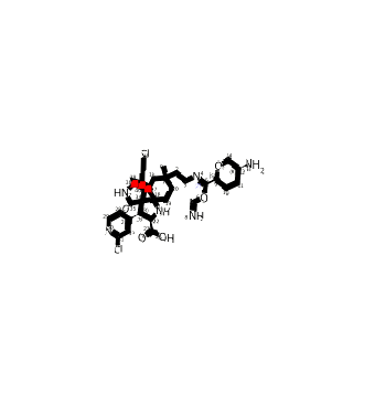 CC1(CC/N=C(\OC=N)[C@@H]2CC[C@@H](N)CO2)CCC2(CC1)N[C@@H](C(=O)O)[C@H](c1ccnc(Cl)c1)C21C(=O)Nc2cc(Cl)ccc21